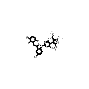 COCc1c(-c2c(N)nc(-n3nc(Cc4c(F)ccc(F)c4F)c4cc(Cl)ccc43)nc2N)c(C)nn1C